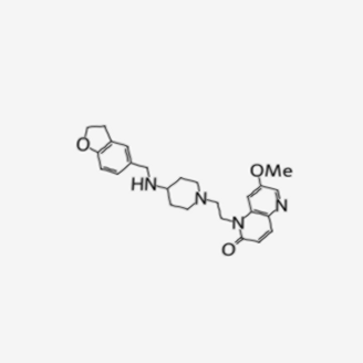 COc1cnc2ccc(=O)n(CCN3CCC(NCc4ccc5c(c4)CCO5)CC3)c2c1